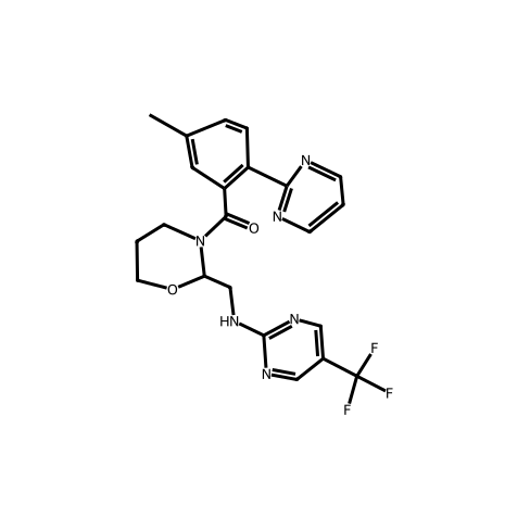 Cc1ccc(-c2ncccn2)c(C(=O)N2CCCOC2CNc2ncc(C(F)(F)F)cn2)c1